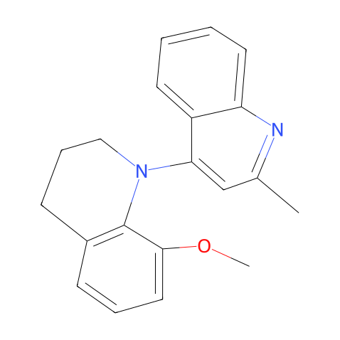 COc1cccc2c1N(c1cc(C)nc3ccccc13)CCC2